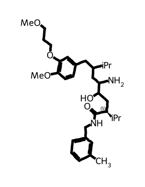 COCCCOc1cc(CC(CC(N)C(O)C[C@H](C(=O)NCc2cccc(C)c2)C(C)C)C(C)C)ccc1OC